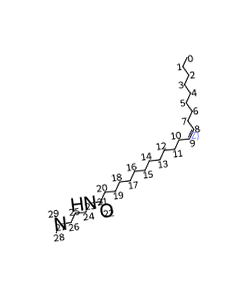 CCCCCCCC/C=C\CCCCCCCCCCCC(=O)NCCCN(C)C